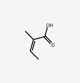 CC=C(C)C(=O)O